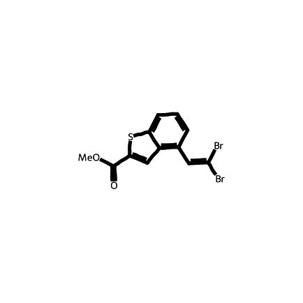 COC(=O)c1cc2c(C=C(Br)Br)cccc2s1